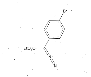 CCOC(=O)C(=[N+]=[N-])c1ccc(Br)cc1